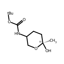 CC(C)(C)OC(=O)NC1CC[C@@](C)(O)OC1